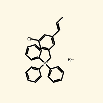 C/C=C/c1cc(Cl)cc(C[P+](c2ccccc2)(c2ccccc2)c2ccccc2)c1.[Br-]